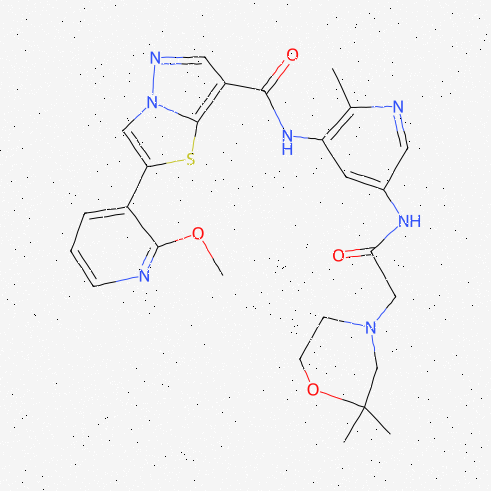 COc1ncccc1-c1cn2ncc(C(=O)Nc3cc(NC(=O)CN4CCOC(C)(C)C4)cnc3C)c2s1